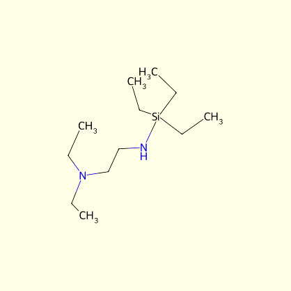 CCN(CC)CCN[Si](CC)(CC)CC